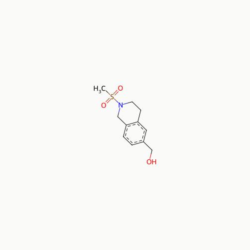 CS(=O)(=O)N1CCc2cc(CO)ccc2C1